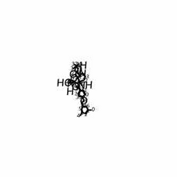 Cc1cc(C)cc(COc2ccc(C(=O)NC3(CC(=O)NO)CCNC(C(=O)OC(C)(C)C)C3)cc2)c1